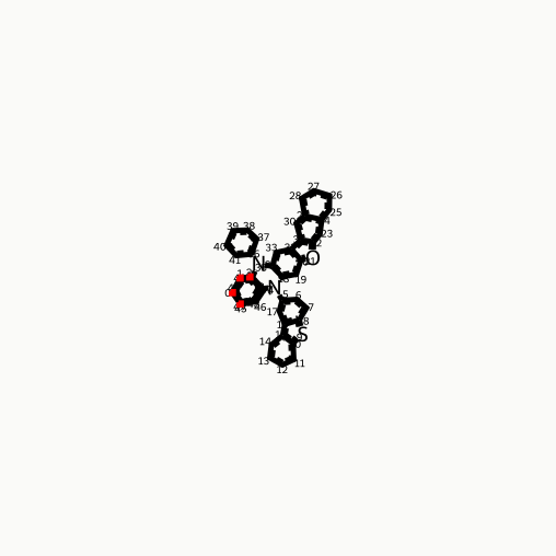 c1ccc(N(c2ccc3sc4ccccc4c3c2)c2cc3oc4cc5ccccc5cc4c3cc2N(c2ccccc2)c2ccccc2)cc1